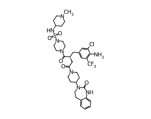 CN1CCC(NS(=O)(=O)N2CCN(C(=O)[C@H](CC(=O)N3CCC(N4CCc5ccccc5NC4=O)CC3)Cc3cc(Cl)c(N)c(C(F)(F)F)c3)CC2)CC1